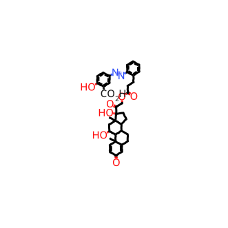 CC12C=CC(=O)C=C1CCC1C2C(O)CC2(C)C1CCC2(O)C(=O)COC(=O)CCc1ccccc1/N=N/c1ccc(O)c(C(=O)O)c1